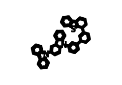 C1=CC(C2CC=Cc3c2sc2ccccc32)=CC(c2cccc(N3c4ccccc4C4C=C(n5c6ccccc6c6ccccc65)C=CC43)c2)C1